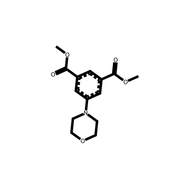 COC(=O)c1cc(C(=O)OC)cc(N2CCOCC2)c1